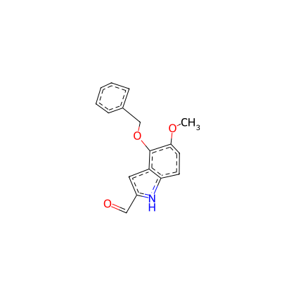 COc1ccc2[nH]c(C=O)cc2c1OCc1ccccc1